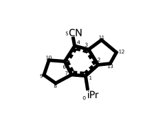 CC(C)c1c2c(c(C#N)c3c1CCC3)CCC2